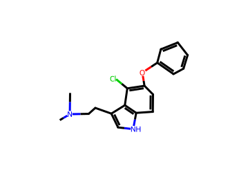 CN(C)CCc1c[nH]c2ccc(Oc3ccccc3)c(Cl)c12